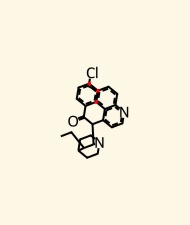 CCC1C2CCN(CC2)C1C(C(=O)c1ccc(Cl)cc1)c1ccnc2ccc(C)cc12